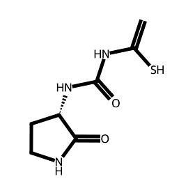 C=C(S)NC(=O)N[C@H]1CCNC1=O